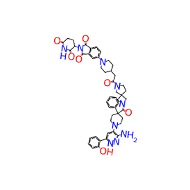 Nc1nnc(-c2ccccc2O)cc1N1CCC(C(=O)N2CC3(CCN(C(=O)CC4CCN(c5ccc6c(c5)C(=O)N(C5CCC(=O)NC5=O)C6=O)CC4)C3)C2)(c2ccccc2)CC1